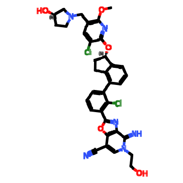 COc1nc(O[C@H]2CCc3c(-c4cccc(-c5nc6c(=N)n(CCO)cc(C#N)c6o5)c4Cl)cccc32)c(Cl)cc1CN1CC[C@@H](O)C1